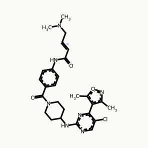 Cc1noc(C)c1-c1nc(NC2CCN(C(=O)c3ccc(NC(=O)/C=C/CN(C)C)cc3)CC2)ncc1Cl